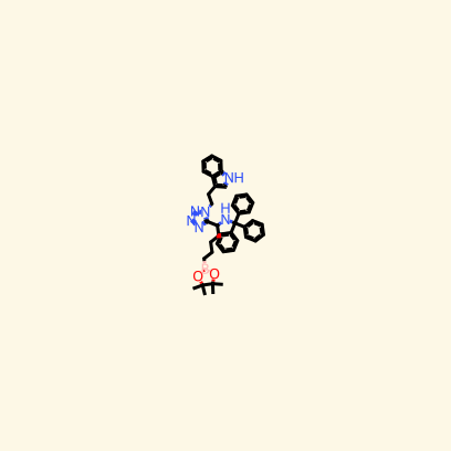 CC1(C)OB(CCCCC(NC(c2ccccc2)(c2ccccc2)c2ccccc2)c2nnnn2CCc2c[nH]c3ccccc23)OC1(C)C